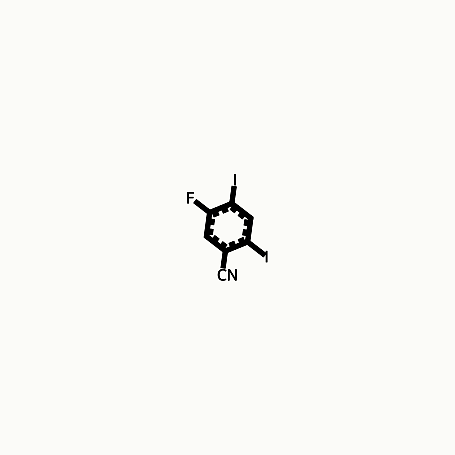 N#Cc1cc(F)c(I)cc1I